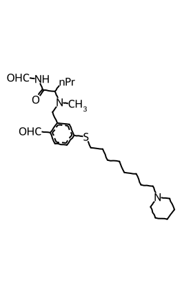 CCCC(C(=O)NC=O)N(C)Cc1cc(SCCCCCCCCN2CCCCC2)ccc1C=O